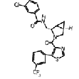 O=C(NC[C@@H]1C2C[C@H]2CN1C(=O)c1ncsc1-c1cccc(C(F)(F)F)c1)c1cccc(Cl)c1